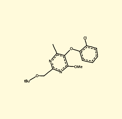 COc1nc(COC(C)(C)C)nc(C)c1Oc1ccccc1Cl